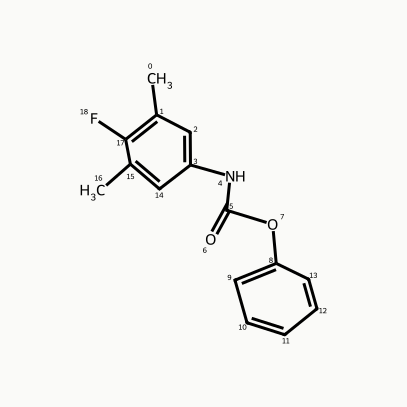 Cc1cc(NC(=O)Oc2ccccc2)cc(C)c1F